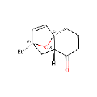 CC[C@@]12C=C[C@]3(CCCC(=O)[C@@H]3C1)O2